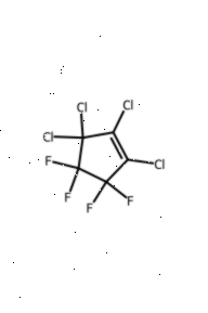 FC1(F)C(Cl)=C(Cl)C(Cl)(Cl)C1(F)F